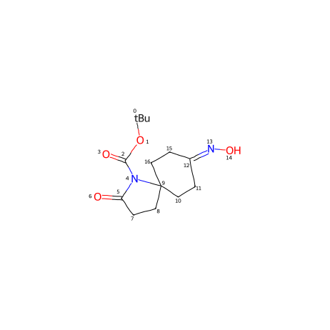 CC(C)(C)OC(=O)N1C(=O)CCC12CCC(=NO)CC2